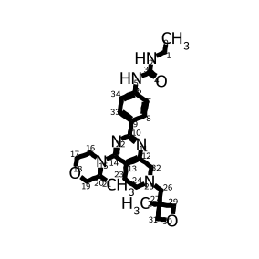 CCNC(=O)Nc1ccc(-c2nc3c(c(N4CCOCC4C)n2)CCN(CC2(C)COC2)C3)cc1